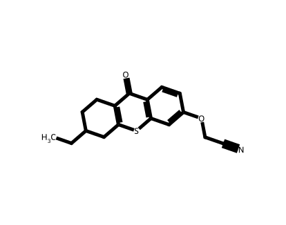 CCC1CCc2c(sc3cc(OCC#N)ccc3c2=O)C1